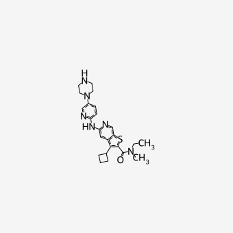 CCN(C)C(=O)c1sc2cnc(Nc3ccc(N4CCNCC4)cn3)cc2c1C1CCC1